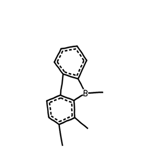 CB1c2ccccc2-c2ccc(C)c(C)c21